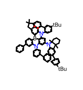 CC1(C)Cc2cc3c(cc2C1)N(c1ccc(C(C)(C)C)cc1-c1ccccc1)c1cc(N2c4ccc(-c5ccc(C(C)(C)C)cc5)cc4C4(C)CCCCC24C)cc2c1B3c1ccc(-c3ccccc3)cc1N2c1cccc(-c2ccccc2)c1